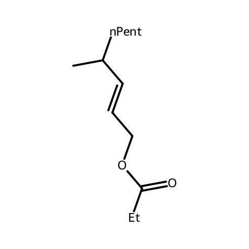 CCCCCC(C)C=CCOC(=O)CC